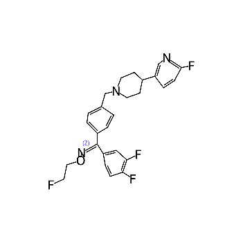 FCCO/N=C(/c1ccc(CN2CCC(c3ccc(F)nc3)CC2)cc1)c1ccc(F)c(F)c1